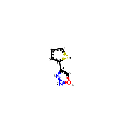 [c]1ccc(-c2conn2)s1